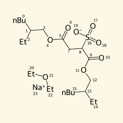 CCCCC(CC)COC(=O)CC(C(=O)OCC(CC)CCCC)S(=O)(=O)[O-].CCOCC.[Na+]